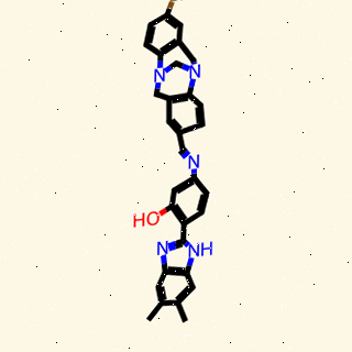 Cc1cc2nc(-c3ccc(/N=C/c4ccc5c(c4)CN4CN5Cc5cc(Br)ccc54)cc3O)[nH]c2cc1C